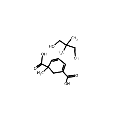 CC(C)(CO)CO.CC1(C(=O)O)C=CC=C(C(=O)O)C1